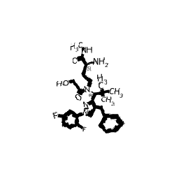 CNC(=O)[C@@H](N)CCN(C(=O)CO)[C@@H](c1nn(-c2cc(F)ccc2F)cc1Cc1ccccc1)C(C)(C)C